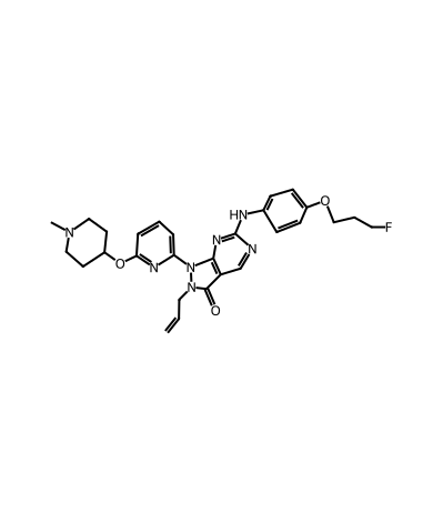 C=CCn1c(=O)c2cnc(Nc3ccc(OCCCF)cc3)nc2n1-c1cccc(OC2CCN(C)CC2)n1